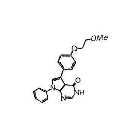 COCCOc1ccc(C2=CN(c3ccccc3)C3N=CNC(=O)C23)cc1